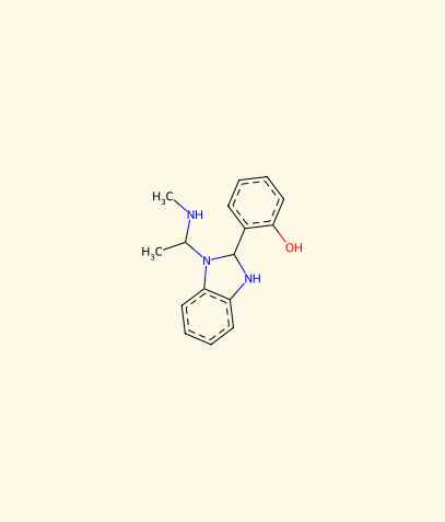 CNC(C)N1c2ccccc2NC1c1ccccc1O